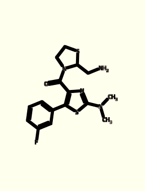 CN(C)c1nc(C(=O)N2CCSC2CN)c(-c2cccc(F)c2)s1